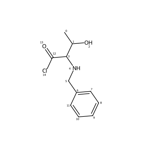 CC(O)C(NCc1ccccc1)C(=O)Cl